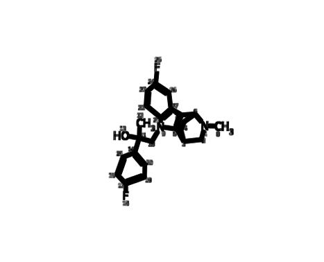 CN1CC2CCC1c1c2n(CC(C)(O)c2ccc(F)cc2)c2ccc(F)cc12